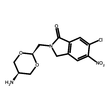 N[C@H]1CO[C@@H](CN2Cc3cc([N+](=O)[O-])c(Cl)cc3C2=O)OC1